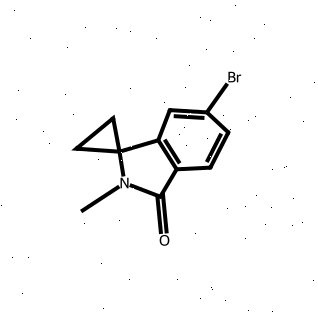 CN1C(=O)c2ccc(Br)cc2C12CC2